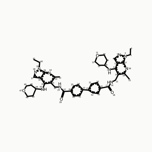 CCn1ncc2c(NC3CCOCC3)c(CNC(=O)c3ccc(-c4ccc(C(=O)NCc5c(C)nc6c(cnn6CC)c5NC5CCOCC5)cc4)cc3)c(C)nc21